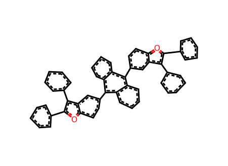 c1ccc(-c2oc3ccc(-c4c5ccccc5c(-c5ccc6oc(-c7ccccc7)c(-c7ccccc7)c6c5)c5ccccc45)cc3c2-c2ccccc2)cc1